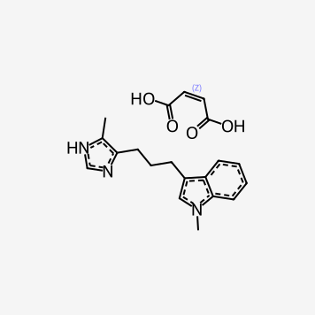 Cc1[nH]cnc1CCCc1cn(C)c2ccccc12.O=C(O)/C=C\C(=O)O